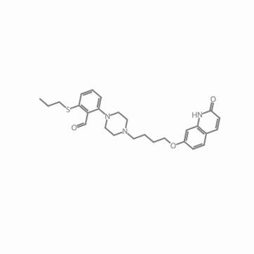 CCCSc1cccc(N2CCN(CCCCOc3ccc4ccc(=O)[nH]c4c3)CC2)c1C=O